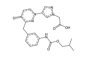 CC(C)COC(=O)Nc1cccc(Cc2nn(-c3cnn(CC(=O)O)c3)ccc2=O)c1